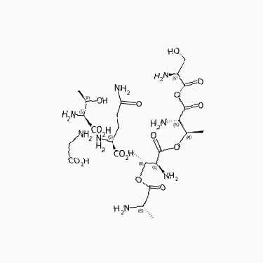 C[C@@H](O)[C@H](N)C(=O)O.C[C@H](N)C(=O)O[C@H](C)[C@H](N)C(=O)O[C@H](C)[C@H](N)C(=O)OC(=O)[C@@H](N)CO.NC(=O)CC[C@H](N)C(=O)O.NCC(=O)O